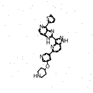 c1csc(-c2nccc3[nH]c(-c4n[nH]c5ccc(-c6cncc(OC7CCNCC7)c6)nc45)nc23)c1